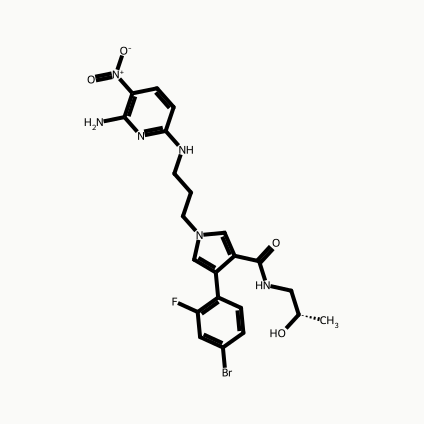 C[C@H](O)CNC(=O)c1cn(CCCNc2ccc([N+](=O)[O-])c(N)n2)cc1-c1ccc(Br)cc1F